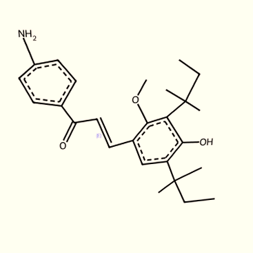 CCC(C)(C)c1cc(/C=C/C(=O)c2ccc(N)cc2)c(OC)c(C(C)(C)CC)c1O